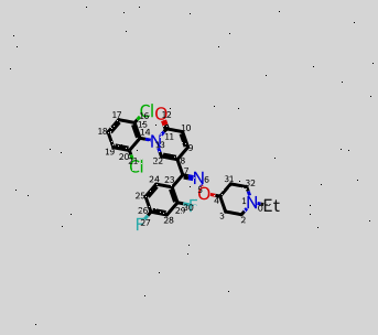 CCN1CCC(ON=C(c2ccc(=O)n(-c3c(Cl)cccc3Cl)c2)c2ccc(F)cc2F)CC1